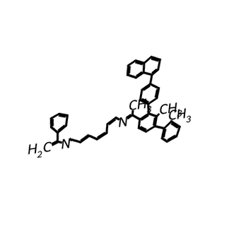 C=C(/N=C/C=C/C=C\C=C/N=C(\C)c1ccc(-c2ccccc2C)c(C)c1-c1ccc(-c2cccc3ccccc23)cc1)c1ccccc1